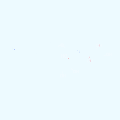 NCCCCc1ccc(OCCN(C[C@H](O)C(O)CO)C[C@H](O)C(O)CO)cc1